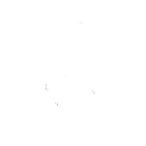 Cc1ccc2[nH]c([S+]([O-])Cc3nccc(OCc4cc(Cl)cc(Cl)c4)c3C)nc2c1